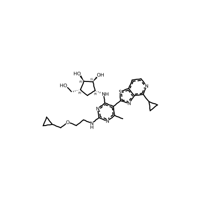 Cc1nc(NCCOCC2CC2)nc(N[C@@H]2C[C@H](CO)[C@@H](O)[C@H]2O)c1-c1nc2c(C3CC3)nccc2s1